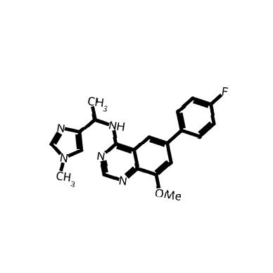 COc1cc(-c2ccc(F)cc2)cc2c(NC(C)c3cn(C)cn3)ncnc12